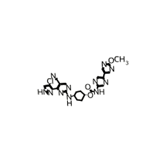 COc1ncc(-c2cnc(NC(=O)O[C@H]3CC[C@H](Nc4ncc(C#N)c(-c5n[nH]cc5Cl)n4)CC3)cn2)cn1